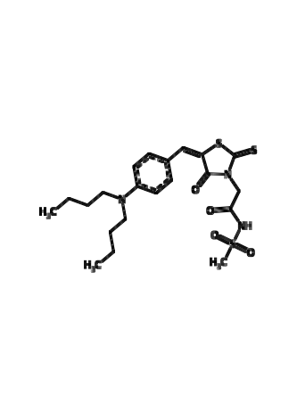 CCCCN(CCCC)c1ccc(C=C2SC(=S)N(CC(=O)NS(C)(=O)=O)C2=O)cc1